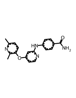 Cc1ccc(Oc2ccnc(Nc3ccc(C(N)=O)cc3)c2)c(C)n1